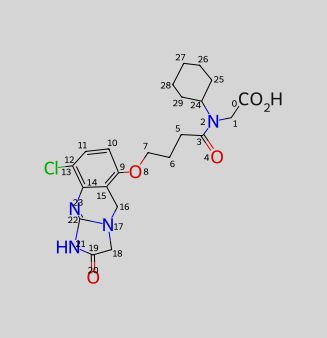 O=C(O)CN(C(=O)CCCOc1ccc(Cl)c2c1CN1CC(=O)NC1=N2)C1CCCCC1